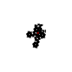 CN(C)CCC(O)(c1cccc2ccccc12)c1cc(Br)cc2cc(Cc3ccccc3)c(N3CCN(Cc4ccccc4)CC3)nc12